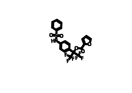 O=C(OC(c1ccc(NS(=O)(=O)c2ccccc2)cc1)(C(F)(F)F)C(F)(F)F)c1ccco1